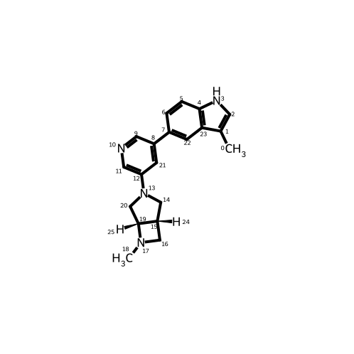 Cc1c[nH]c2ccc(-c3cncc(N4C[C@@H]5CN(C)[C@@H]5C4)c3)cc12